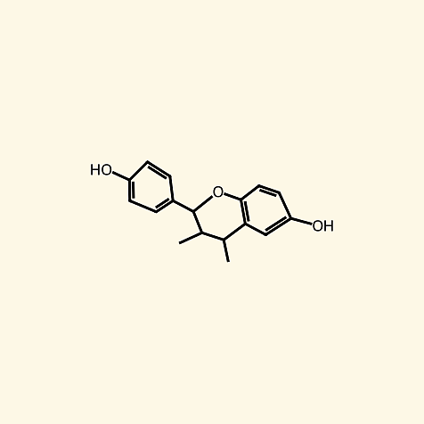 CC1c2cc(O)ccc2OC(c2ccc(O)cc2)C1C